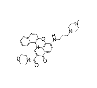 CN1CCN(CCCNc2ccc3c(=O)c(C(=O)N4CCOCC4)cn4c3c2Oc2ccc3ccccc3c2-4)CC1